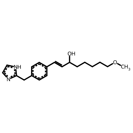 COCCCCCC(O)C=Cc1ccc(Cc2ncc[nH]2)cc1